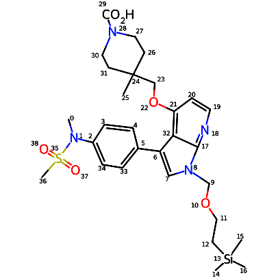 CN(c1ccc(-c2cn(COCC[Si](C)(C)C)c3nccc(OCC4(C)CCN(C(=O)O)CC4)c23)cc1)S(C)(=O)=O